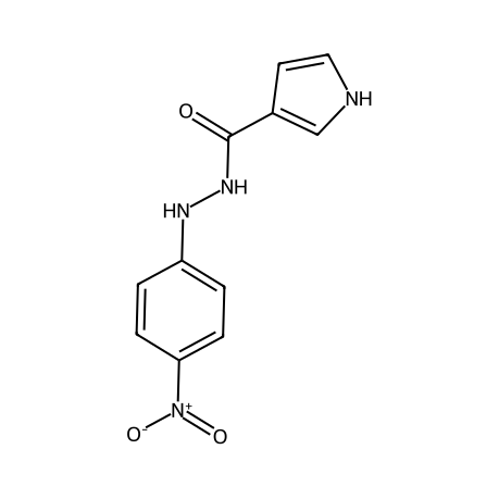 O=C(NNc1ccc([N+](=O)[O-])cc1)c1cc[nH]c1